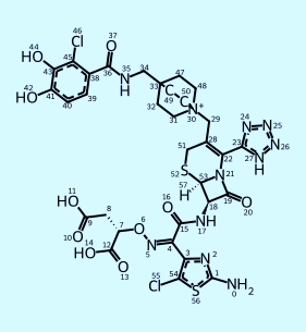 Nc1nc(/C(=N/O[C@@H](CC(=O)O)C(=O)O)C(=O)N[C@@H]2C(=O)N3C(c4nnn[nH]4)=C(C[N+]45CCC(CNC(=O)c6ccc(O)c(O)c6Cl)(CC4)CC5)CS[C@H]23)c(Cl)s1